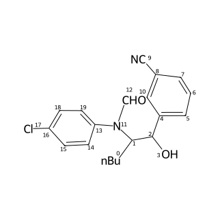 CCCCC(C(O)c1cccc(C#N)c1)N(C=O)c1ccc(Cl)cc1